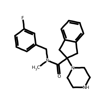 CN(Cc1cccc(F)c1)C(=O)C1(N2CCNCC2)Cc2ccccc2C1